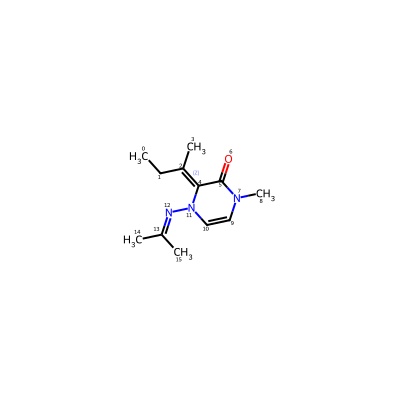 CC/C(C)=C1/C(=O)N(C)C=CN1N=C(C)C